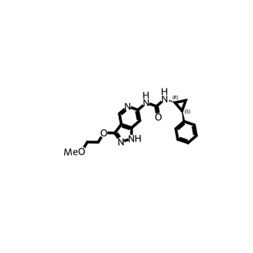 COCCOc1n[nH]c2cc(NC(=O)N[C@@H]3C[C@H]3c3ccccc3)ncc12